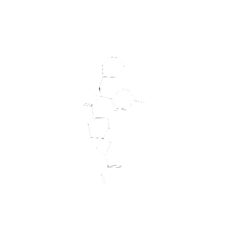 C=CC(=O)N1CC2(CCN(C(=O)[C@@H](CC3CCOCC3)c3ccc(Cl)cc3)CC2)C1